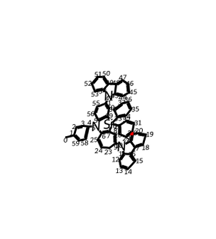 Cc1ccc(N2C3=C(C=C(n4c5ccccc5c5ccccc54)CC=C3)[Si](c3ccccc3)(c3ccccc3)c3cc(-n4c5ccccc5c5ccccc54)ccc32)cc1